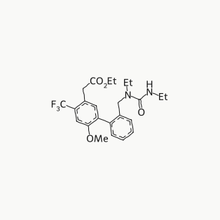 CCNC(=O)N(CC)Cc1ccccc1-c1cc(CC(=O)OCC)c(C(F)(F)F)cc1OC